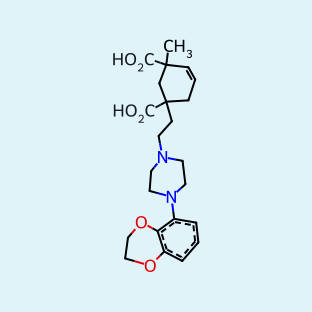 CC1(C(=O)O)C=CCC(CCN2CCN(c3cccc4c3OCCO4)CC2)(C(=O)O)C1